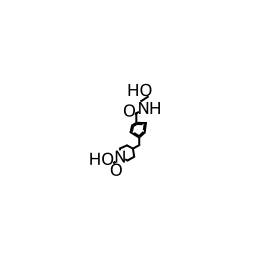 O=C(NCCO)c1ccc(CC2CCN(C(=O)O)CC2)cc1